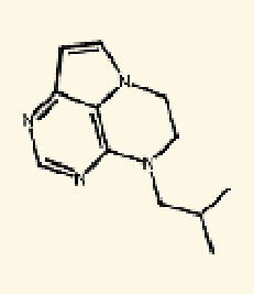 CC(C)CN1CCn2ccc3ncnc1c32